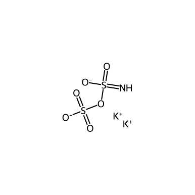 N=S(=O)([O-])OS(=O)(=O)[O-].[K+].[K+]